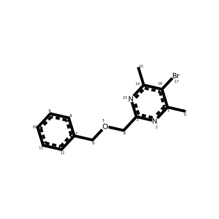 Cc1nc(COCc2ccccc2)nc(C)c1Br